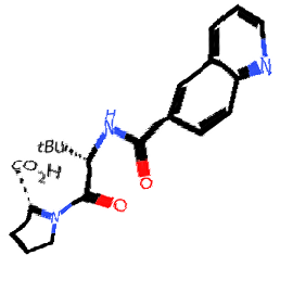 CC(C)(C)[C@H](NC(=O)c1ccc2ncccc2c1)C(=O)N1CCC[C@@H]1C(=O)O